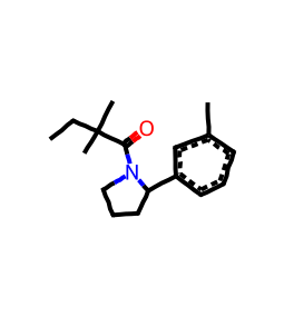 CCC(C)(C)C(=O)N1CCCC1c1cccc(C)c1